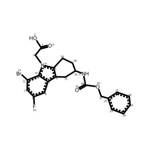 O=C(O)Cn1c2c(c3cc(F)cc(Br)c31)CC(NC(=O)OCc1ccccc1)CC2